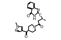 C[C@@H](CC(=O)N1CCC(C(=O)c2cnn(C)c2)CC1)Cc1nc2ccccc2c(=O)[nH]1